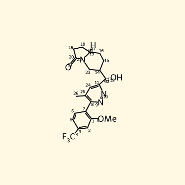 COc1cc(C(F)(F)F)ccc1-c1nnc([C@@H](O)C2CC[C@H]3CCC(=O)N3C2)cc1C